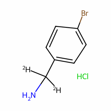 Cl.[2H]C([2H])(N)c1ccc(Br)cc1